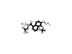 COc1ccc2c(C(=S)N(C)CC(=O)O)cccc2c1SC(F)(F)F